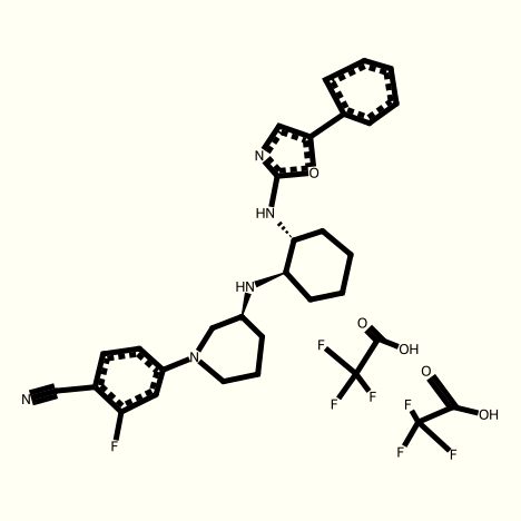 N#Cc1ccc(N2CCC[C@H](N[C@@H]3CCCC[C@H]3Nc3ncc(-c4ccccc4)o3)C2)cc1F.O=C(O)C(F)(F)F.O=C(O)C(F)(F)F